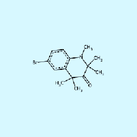 CN1c2ccc(Br)cc2C(C)(C)C(=O)C1(C)C